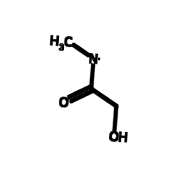 C[N]C(=O)CO